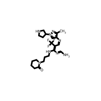 Cc1nn(C2CCNC2)cc1\N=C/C(=C(\N=C\N)NCCCN1CCCCC1=O)C(F)(F)F